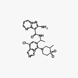 CC(NC(=O)c1c(N)nn2cccnc12)c1cc(Cl)c2cncn2c1N1CCS(=O)(=O)C(C)C1